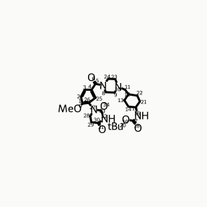 COc1ccc(C(=O)N2CCN(CC3CCC(NC(=O)OC(C)(C)C)CC3)CC2)cc1N1CCC(=O)NC1=O